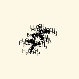 CC(C)(C)OC(=O)CN(CCN(CC(=O)OC(C)(C)C)Cc1cc(Br)cc(CN(CCN(CC(=O)OC(C)(C)C)CC(=O)OC(C)(C)C)CC(=O)OC(C)(C)C)n1)CC(=O)OC(C)(C)C